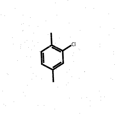 Cc1c[c]c(C)c(Cl)c1